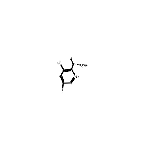 CO[C@@H](C)c1ncc(I)cc1Br